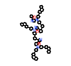 c1cc(-c2ccc(N(c3ccc(-c4ccc5c(ccc6ccccc65)c4)cc3)c3nccc4c3oc3cccc(-c5cccc(-c6ccc(N(c7ccc(-c8ccc9c(ccc%10ccccc%109)c8)cc7)c7ccnc8c7oc7ccccc78)cc6)c5)c34)cc2)cc(-c2cncc3oc4c(N(c5ccc(-c6ccc7ccc8ccccc8c7c6)cc5)c5ccc(-c6ccc7ccc8ccccc8c7c6)cc5)cccc4c23)c1